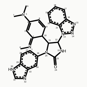 CN=C1C=C(N(C)C)C=CC1C1C(n2nnc3ccccc32)NC(=O)N1c1ccc2[nH]cnc2c1